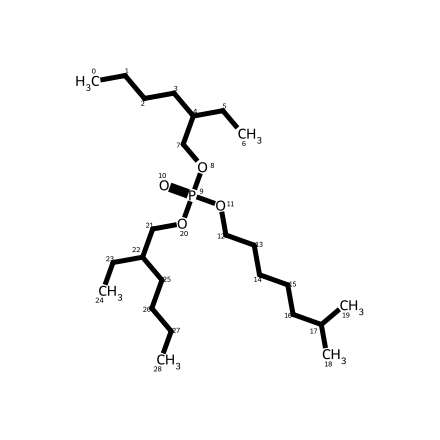 CCCCC(CC)COP(=O)(OCCCCCC(C)C)OCC(CC)CCCC